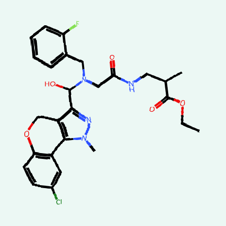 CCOC(=O)C(C)CNC(=O)CN(Cc1ccccc1F)C(O)c1nn(C)c2c1COc1ccc(Cl)cc1-2